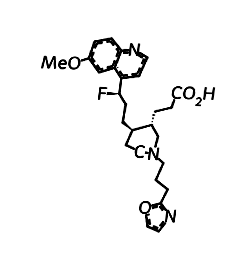 COc1ccc2nccc([C@H](F)CC[C@@H]3CCN(CCCc4ncco4)C[C@H]3CCC(=O)O)c2c1